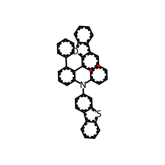 c1ccc(-c2cccc(N(c3ccccc3)c3ccc4c(c3)sc3ccccc34)c2-c2cccc3c2oc2ccccc23)cc1